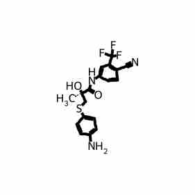 C[C@@](O)(CSc1ccc(N)cc1)C(=O)Nc1ccc(C#N)c(C(F)(F)F)c1